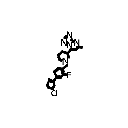 Cc1cc(C2CCCN(Cc3ccc(-c4cccc(Cl)c4)cc3F)C2)n2ncnc2n1